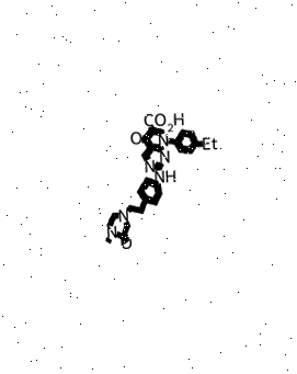 CCc1ccc(-n2cc(C(=O)O)c(=O)c3cnc(Nc4ccc(CCN5CCN(C)C(=O)C5)cc4)nc32)cc1